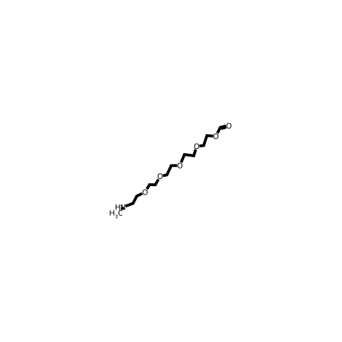 CNCCOCCOCCOCCOCCOC=O